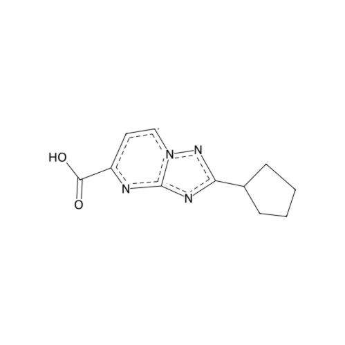 O=C(O)c1c[c]n2nc(C3CCCC3)nc2n1